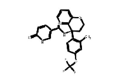 Cc1cc(OC(F)(F)F)ccc1[C@@]1(NC(=O)c2ccc(=O)[nH]c2)CCOc2cccnc21